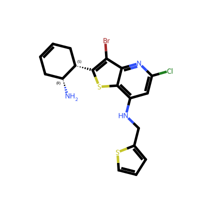 N[C@@H]1CC=CC[C@@H]1c1sc2c(NCc3cccs3)cc(Cl)nc2c1Br